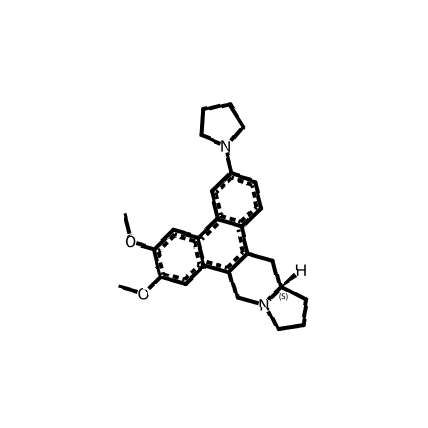 COc1cc2c3c(c4ccc(N5CCCC5)cc4c2cc1OC)C[C@@H]1CCCN1C3